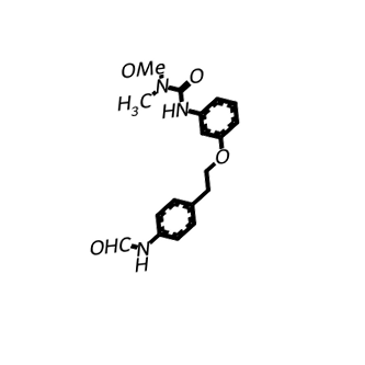 CON(C)C(=O)Nc1cccc(OCCc2ccc(NC=O)cc2)c1